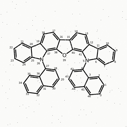 c1ccc2c(-n3c4ccccc4c4ccc5c6ccc7c8ccccc8n(-c8cccc9ccccc89)c7c6oc5c43)cccc2c1